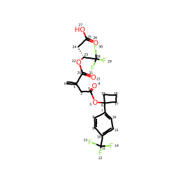 C=C(CC(=O)OC1(c2ccc(C(F)(F)F)cc2)CCC1)C(=O)O[C@H](CC(=O)O)C(F)(F)F